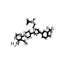 CN(CCn1cc(-c2ccc(F)c(C(F)(F)F)c2)nc1C1CCN(c2ncnc(N)c2C#N)CC1)C1CC1